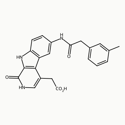 Cc1cccc(CC(=O)Nc2ccc3[nH]c4c(=O)[nH]cc(CC(=O)O)c4c3c2)c1